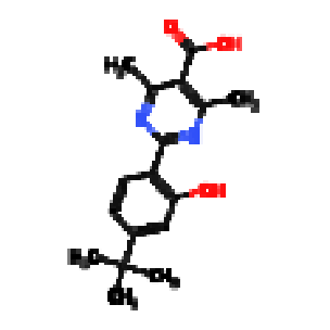 Cc1nc(-c2ccc(C(C)(C)C)cc2O)nc(C)c1C(=O)O